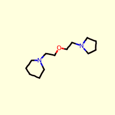 C1CCN(CCOCCN2CCCC2)CC1